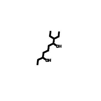 CCC(O)CCCC(O)C(CC)CC